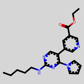 CCCCCNc1ncc(-c2cncc(C(=O)OCC)c2)c(-n2cccc2)n1